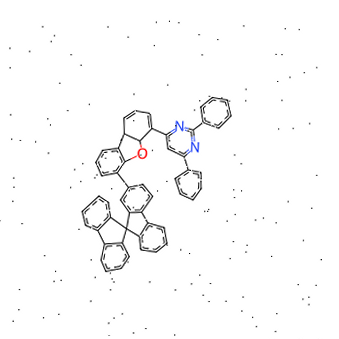 C1=CC2c3cccc(-c4ccc5c(c4)C4(c6ccccc6-c6ccccc64)c4ccccc4-5)c3OC2C(c2cc(-c3ccccc3)nc(-c3ccccc3)n2)=C1